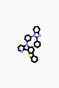 C1=CC2=NC(c3ccccc3)N(c3cccc(-n4c5cccnc5c5c6sc7ccccc7c6ccc54)c3)C2C=C1